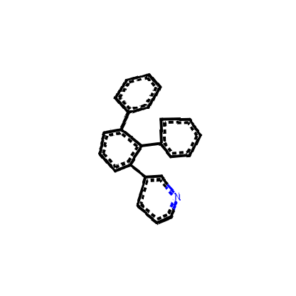 c1ccc(-c2cccc(-c3cccnc3)c2-c2ccccc2)cc1